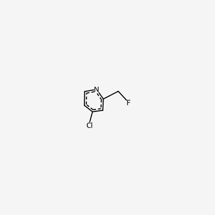 FCc1cc(Cl)ccn1